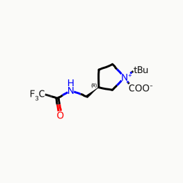 CC(C)(C)[N+]1(C(=O)[O-])CC[C@H](CNC(=O)C(F)(F)F)C1